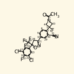 CC(=O)N1CC(F)(c2ccc(C3=NOC(c4cc(Cl)c(F)c(Cl)c4)(C(F)(F)F)C3)cc2C#N)C1